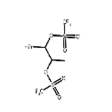 CCCC(OS(=O)(=O)C(F)(F)F)C(C)OS(=O)(=O)C(F)(F)F